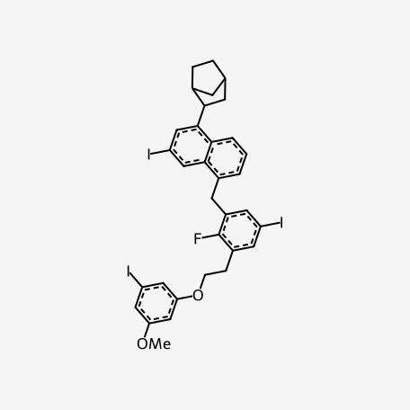 COc1cc(I)cc(OCCc2cc(I)cc(Cc3cccc4c(C5CC6CCC5C6)cc(I)cc34)c2F)c1